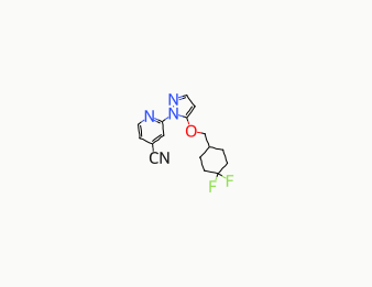 N#Cc1ccnc(-n2nccc2OCC2CCC(F)(F)CC2)c1